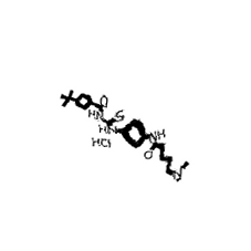 CN(C)CCCCC(=O)Nc1ccc(NC(=S)NC(=O)c2ccc(C(C)(C)C)cc2)cc1.Cl